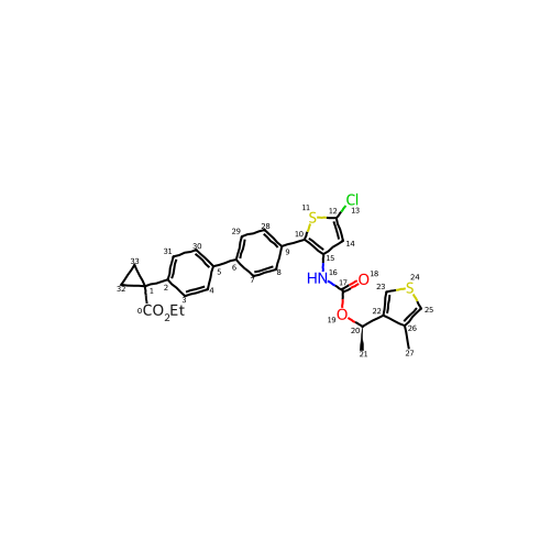 CCOC(=O)C1(c2ccc(-c3ccc(-c4sc(Cl)cc4NC(=O)O[C@H](C)c4cscc4C)cc3)cc2)CC1